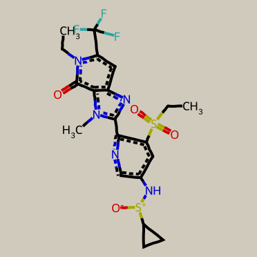 CCn1c(C(F)(F)F)cc2nc(-c3ncc(N[S+]([O-])C4CC4)cc3S(=O)(=O)CC)n(C)c2c1=O